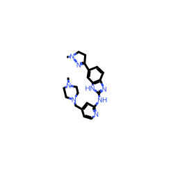 CN1CCN(Cc2ccnc(Nc3nc4ccc(C5=NN(C)CC5)cc4[nH]3)c2)CC1